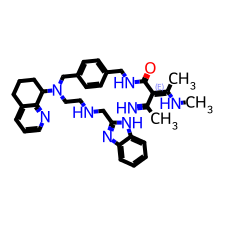 CN/C(C)=C(\C(C)=N)C(=O)NCc1ccc(CN(CCNCc2nc3ccccc3[nH]2)C2CCCc3cccnc32)cc1